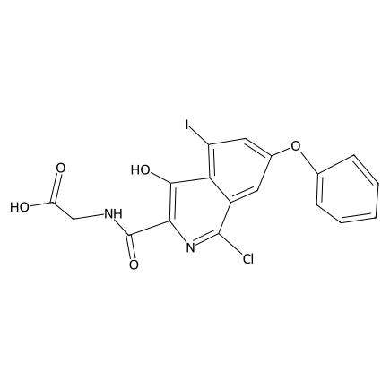 O=C(O)CNC(=O)c1nc(Cl)c2cc(Oc3ccccc3)cc(I)c2c1O